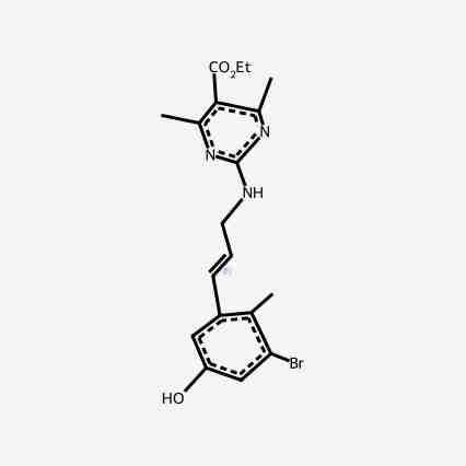 CCOC(=O)c1c(C)nc(NC/C=C/c2cc(O)cc(Br)c2C)nc1C